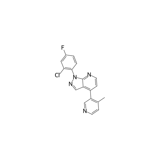 Cc1ccncc1-c1ccnc2c1cnn2-c1ccc(F)cc1Cl